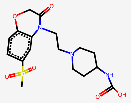 CS(=O)(=O)c1ccc2c(c1)N(CCN1CCC(NC(=O)O)CC1)C(=O)CO2